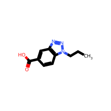 CCCn1nnc2cc(C(=O)O)ccc21